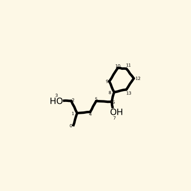 CC(CO)CCC(O)C1CCCCC1